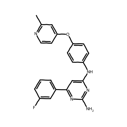 Cc1cc(Oc2ccc(Nc3cc(-c4cccc(F)c4)nc(N)n3)cc2)ccn1